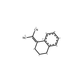 N#CC(C#N)=C1CCCc2ccccc21